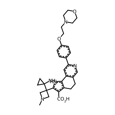 CN1CC(c2[nH]c3c(c2C(=O)O)CCc2cnc(-c4ccc(OCCN5CCOCC5)cc4)cc2-3)(C2(N)CC2)C1